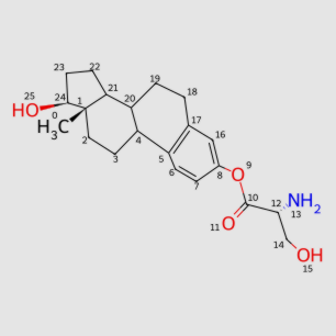 C[C@]12CCC3c4ccc(OC(=O)[C@H](N)CO)cc4CCC3C1CC[C@@H]2O